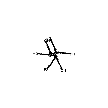 OCCCCCCCCCCCCOc1cc2c3cc(OCCCCCCCCCCCCO)c(OCCCCCCCCCCCCO)cc3c3cc(OCCCCCCCCCCCCO)c(OCCCCCCCCCCCCO)cc3c2cc1OCCCCCCCCCCCCO